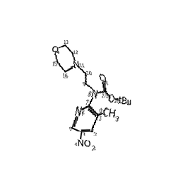 Cc1cc([N+](=O)[O-])cnc1N(CCN1CCOCC1)C(=O)OC(C)(C)C